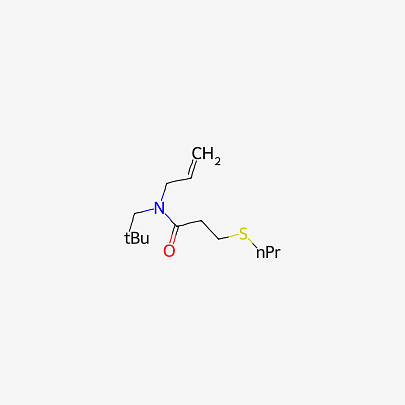 C=CCN(CC(C)(C)C)C(=O)CCSCCC